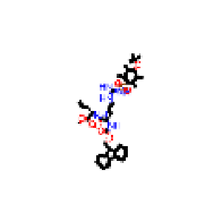 C=CC[C@@H](NC(=O)[C@@H](CCCNC(=N)NS(=O)(=O)c1c(C)c(C)c(OC(C)(C)C)c(C)c1C)NC(=O)OCC1c2ccccc2-c2ccccc21)C(=O)OC